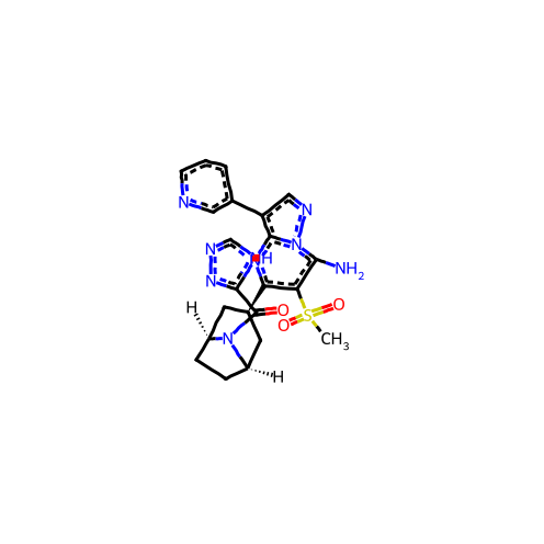 CS(=O)(=O)c1c([C@H]2C[C@H]3CC[C@@H](C2)N3C(=O)c2nnc[nH]2)nc2c(-c3cccnc3)cnn2c1N